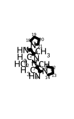 CC(C)(/N=N/C(C)(C)C(=N)N1CCCC1)C(=N)N1CCCC1.Cl